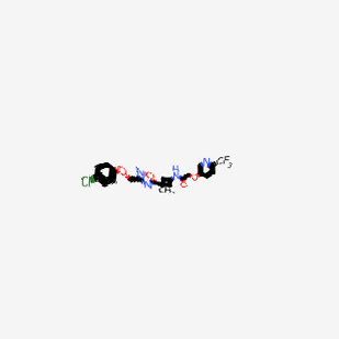 CC1(c2nc(COc3ccc(Cl)cc3)no2)C=C(NC(=O)COc2ccc(C(F)(F)F)nc2)C1